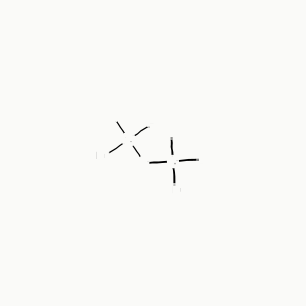 CC[Si](CC)(CC)[P][Si](CC)(CC)CC